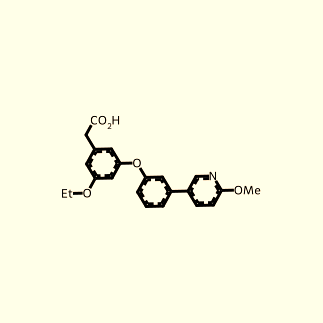 CCOc1cc(CC(=O)O)cc(Oc2cccc(-c3ccc(OC)nc3)c2)c1